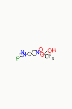 O=C(O[C@H](CO)C(F)(F)F)N1CCC2(CC1)CC(n1cc(F)cn1)C2